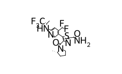 C[C@H](Nc1cc(C(F)F)c(-c2sc(C(N)=O)nc2C(=O)N2CCC[C@@H]2C)cn1)C(F)(F)F